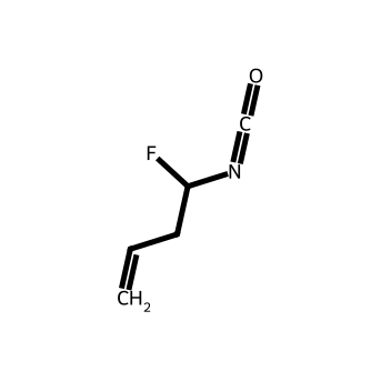 C=CCC(F)N=C=O